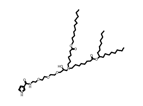 CCCCCCCCCCCOC(=O)CCCCCN(CCCCCCCC(=O)OC(CCCCCCCC)CCCCCCCC)CC(O)COCCOCCOCCNC(=O)c1cc[nH]c1